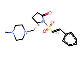 CN1CCN(C[C@@H]2CCC(=O)N2S(=O)(=O)/C=C/c2ccccc2)CC1